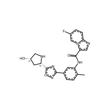 Cc1ccc(-c2noc([C@@H]3C[C@H](O)CN3)n2)cc1NC(=O)c1cnc2ccc(F)cn12